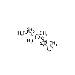 CCN(C)CCc1cc(C)c(Oc2nc(-c3ccccc3C)ns2)cc1C